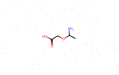 [CH2]C(N)OCC(=O)O